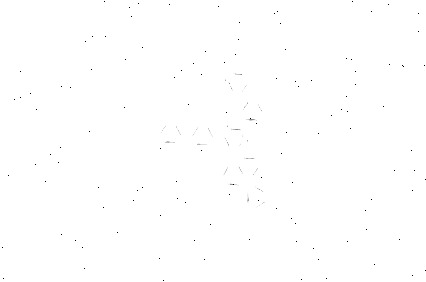 c1ccc(-c2ccc(-c3cc(-c4ccc5c6c(cccc46)-c4ccccc4-5)nc(-c4cccc(-c5cccnc5)c4)n3)cc2)cc1